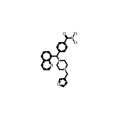 CCN(CC)C(=O)c1ccc(C(c2cccc3cccnc23)N2CCN(Cc3ccoc3)CC2)cc1